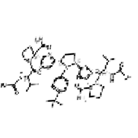 CC(C)[C@H](NC(=O)O)C(=O)N1CCC[C@]1(C(N)=O)c1nc([C@@H]2CC[C@@H](c3csc([C@@]4(C(N)=O)CCCN4C(=O)[C@@H](NC(=O)O)C(C)C)n3)N2c2ccc(C(C)(C)C)cc2)cs1